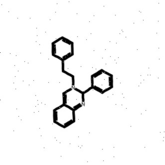 C1=c2ccccc2=NC(c2ccccc2)N1CCc1ccccc1